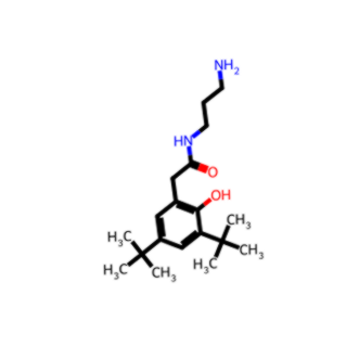 CC(C)(C)c1cc(CC(=O)NCCCN)c(O)c(C(C)(C)C)c1